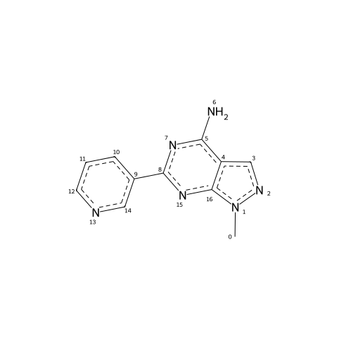 Cn1ncc2c(N)nc(-c3cccnc3)nc21